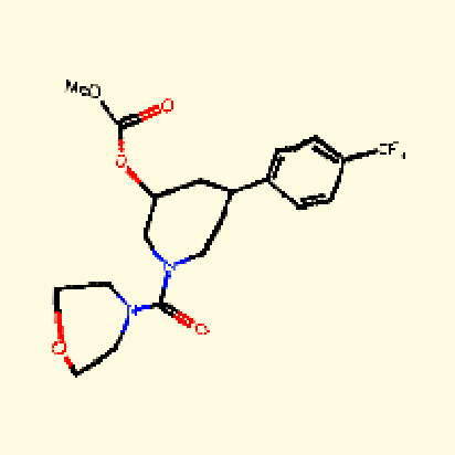 COC(=O)OC1CC(c2ccc(C(F)(F)F)cc2)CN(C(=O)N2CCOCC2)C1